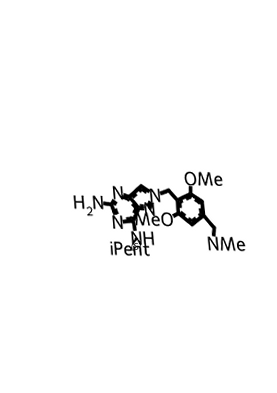 CCC[C@H](C)Nc1nc(N)nc2cn(Cc3c(OC)cc(CNC)cc3OC)nc12